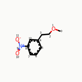 COCCc1[c]ccc([N+](=O)[O-])c1